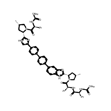 COC(=O)N[C@H](C(=O)N[C@H](C(=O)N1C[C@@H](C)C[C@H]1c1nc2cc(-c3ccc(-c4ccc(-c5c[nH]c([C@@H]6C[C@H](C)CN6C(=O)[C@@H](NC(=O)OC)C(C)C)n5)cc4)cc3)ccc2[nH]1)C(C)C)C(C)C